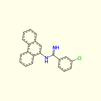 N=C(Nc1cc2ccccc2c2ccccc12)c1cccc(Cl)c1